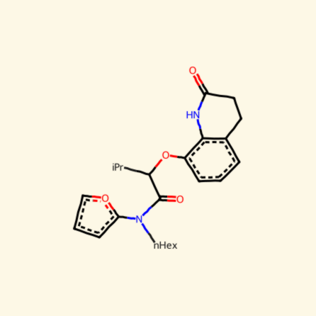 CCCCCCN(C(=O)C(Oc1cccc2c1NC(=O)CC2)C(C)C)c1ccco1